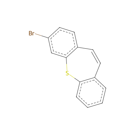 Brc1ccc2c(c1)Sc1ccccc1C=C2